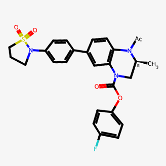 CC(=O)N1c2ccc(-c3ccc(N4CCCS4(=O)=O)cc3)cc2N(C(=O)Oc2ccc(F)cc2)C[C@@H]1C